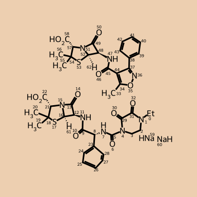 CCN1CCN(C(=O)N[C@@H](C(=O)N[C@@H]2C(=O)N3[C@@H]2SC(C)(C)[C@@H]3C(=O)O)c2ccccc2)C(=O)C1=O.Cc1onc(-c2ccccc2)c1C(=O)N[C@@H]1C(=O)N2[C@@H]1SC(C)(C)[C@@H]2C(=O)O.[NaH].[NaH]